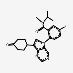 CC(C)N(C)C(=O)c1cc(F)ccc1-n1cc(C2CCC(=O)CC2)c2ncncc21